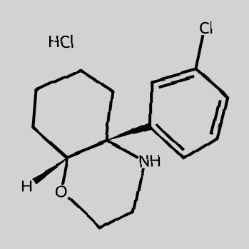 Cl.Clc1cccc([C@]23CCCC[C@H]2OCCN3)c1